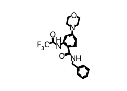 O=C(NCc1ccccc1)c1ccc(N2CCOCC2)cc1NC(=O)C(F)(F)F